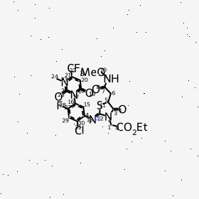 CCOC(=O)CN1C(=O)C(CC(=O)NOC)S/C1=N\c1cc(-n2c(=O)cc(C(F)(F)F)n(C)c2=O)c(F)cc1Cl